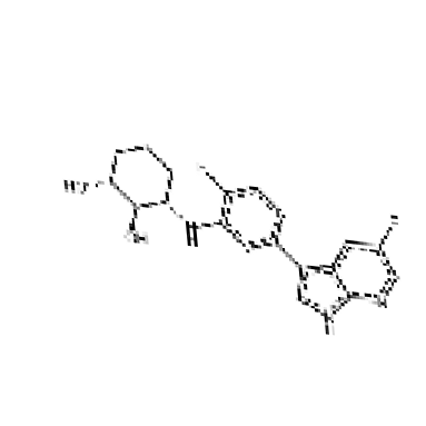 O[C@H]1[C@H](O)CCC[C@@H]1Nc1nc(-c2c[nH]c3ncc(F)cc23)ncc1F